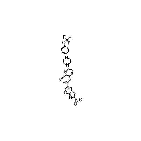 N#Cc1nc(N2CCN(c3ccc(OC(F)(F)F)cc3)CC2)ncc1CN[C@@H]1COc2nc([N+](=O)[O-])cn2C1